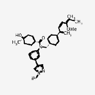 C=C(/C=C\C(OC)=C(C)C)[C@H]1CC[C@H](CN(c2cccc(-c3cnn(C(C)C)c3)c2)C(=O)[C@H]2CC[C@](C)(O)CC2)CC1